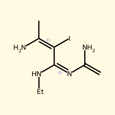 C=C(N)/N=C(NCC)\C(I)=C(\C)N